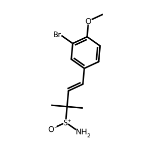 COc1ccc(C=CC(C)(C)[S+](N)[O-])cc1Br